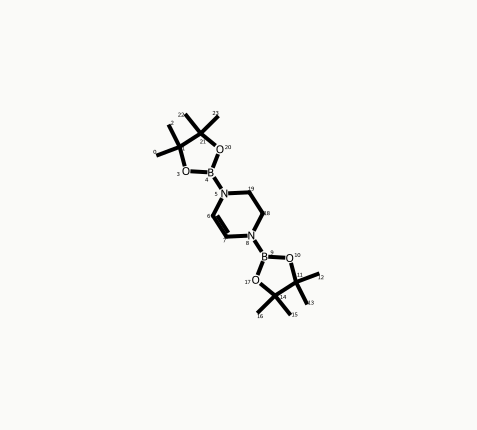 CC1(C)OB(N2C=CN(B3OC(C)(C)C(C)(C)O3)CC2)OC1(C)C